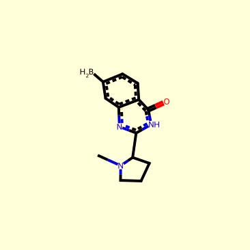 Bc1ccc2c(=O)[nH]c(C3CCCN3C)nc2c1